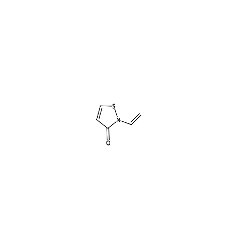 C=Cn1sccc1=O